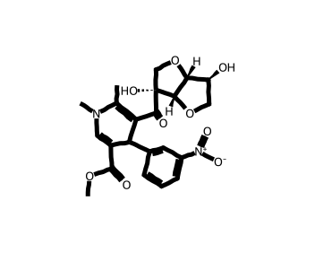 COC(=O)C1=CN(C)C(C)=C(C(=O)[C@@]2(O)CO[C@@H]3[C@@H](O)CO[C@@H]32)C1c1cccc([N+](=O)[O-])c1